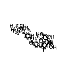 CC(C)c1cc(-c2nnc(O)n2-c2ccc(CN3CCN(C(=O)Oc4ccc(CO[Si](C)(C)C(C)(C)C)cc4)CC3)c(F)c2)c(O)cc1O